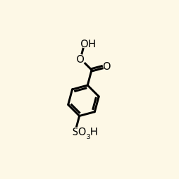 O=C(OO)c1ccc(S(=O)(=O)O)cc1